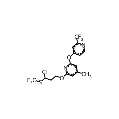 Cc1cc(OCCC(Cl)SC(F)(F)F)nc(Oc2ccnc(C(F)(F)F)c2)c1